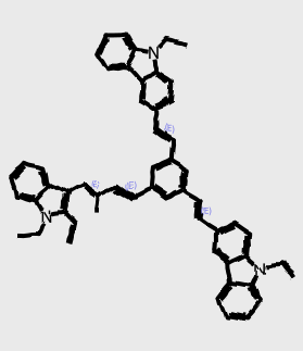 C=Cc1c(/C=C(C)/C=C/c2cc(/C=C/c3ccc4c(c3)c3ccccc3n4CC)cc(/C=C/c3ccc4c(c3)c3ccccc3n4CC)c2)c2ccccc2n1CC